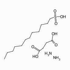 CCCCCCCCCCCCS(=O)(=O)O.N.N.O=C(O)CCC(=O)O